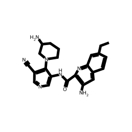 CCc1ccc2cc(N)c(C(=O)Nc3cncc(C#N)c3N3CCCC(N)C3)nc2c1